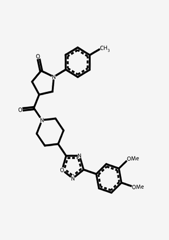 COc1ccc(-c2noc(C3CCN(C(=O)C4CC(=O)N(c5ccc(C)cc5)C4)CC3)n2)cc1OC